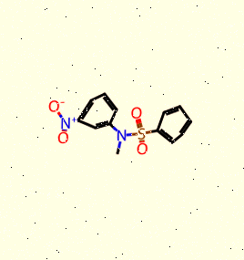 CN(c1cccc([N+](=O)[O-])c1)S(=O)(=O)c1ccccc1